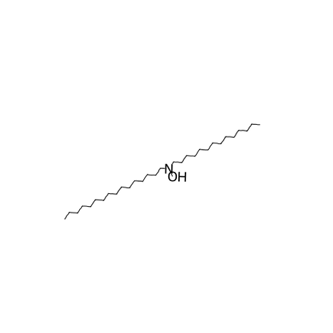 CCCCCCCCCCCCCCCCN(O)CCCCCCCCCCCCCC